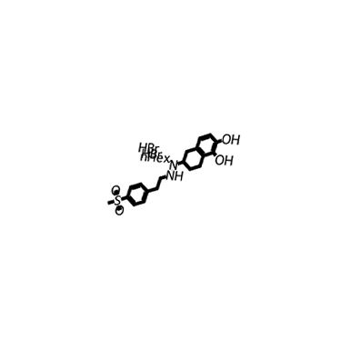 Br.Br.CCCCCCN(NCCc1ccc(S(C)(=O)=O)cc1)C1CCc2c(ccc(O)c2O)C1